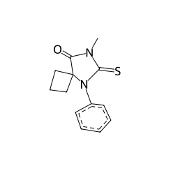 CN1C(=O)C2(CCC2)N(c2ccccc2)C1=S